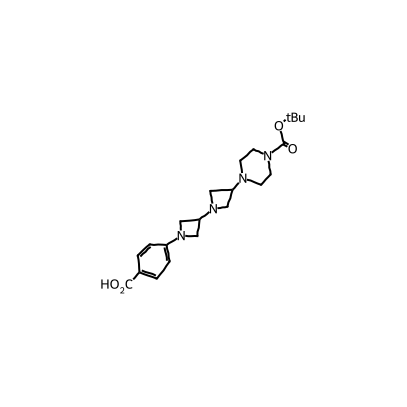 CC(C)(C)OC(=O)N1CCN(C2CN(C3CN(c4ccc(C(=O)O)cc4)C3)C2)CC1